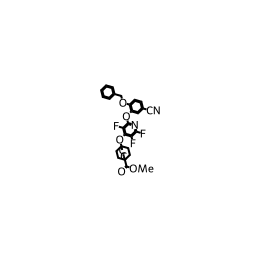 COC(=O)C12CCC(Oc3c(F)c(F)nc(Oc4cc(C#N)ccc4OCc4ccccc4)c3F)(CC1)CC2